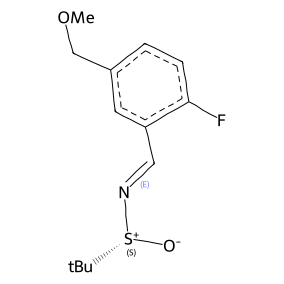 COCc1ccc(F)c(/C=N/[S@+]([O-])C(C)(C)C)c1